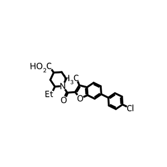 CCC1CC(C(=O)O)CCN1C(=O)c1oc2cc(-c3ccc(Cl)cc3)ccc2c1C